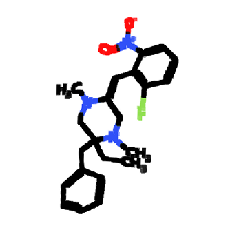 CCC1(Cc2ccccc2)CN(C)C(=Cc2c(F)cccc2[N+](=O)[O-])CN1C